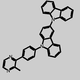 Cc1nccnc1-c1ccc(-n2c3ccccc3c3cc(-n4c5ccccc5c5ccccc54)ccc32)cc1